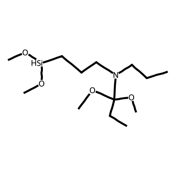 CCCN(CCC[SiH](OC)OC)C(CC)(OC)OC